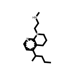 CCCC(C)c1ccnc2c1CCCN2CCNC